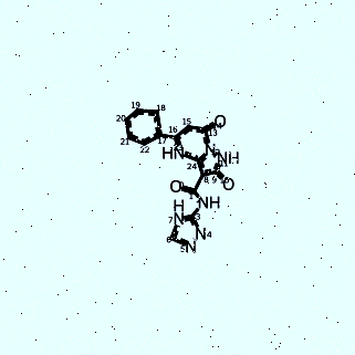 O=C(Nc1nnc[nH]1)c1c(=O)[nH]n2c(=O)cc(-c3ccccc3)[nH]c12